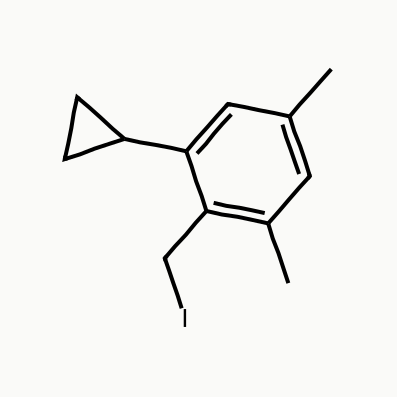 Cc1cc(C)c(CI)c(C2CC2)c1